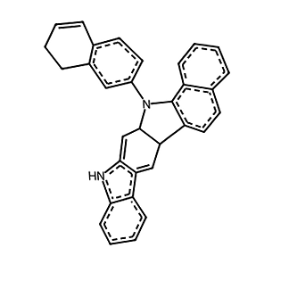 C1=Cc2ccc(N3c4c(ccc5ccccc45)C4C=c5c([nH]c6ccccc56)=CC43)cc2CC1